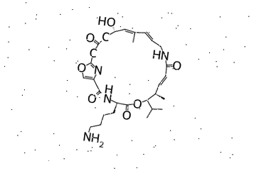 CC1=C\[C@@H](O)CC(=O)Cc2nc(co2)C(=O)N[C@H](CCCCN)C(=O)OC(C(C)C)[C@H](C)/C=C/C(=O)NC\C=C\1